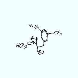 CC(C)(C)C(Cc1cc(N)cc(C(F)(F)F)c1)NC(=O)O